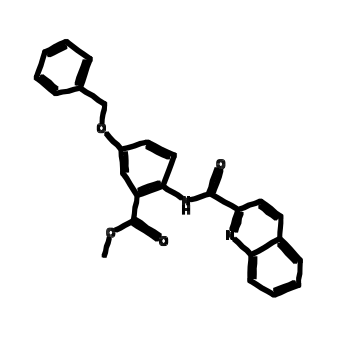 COC(=O)c1cc(OCc2ccccc2)ccc1NC(=O)c1ccc2ccccc2n1